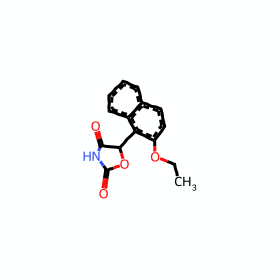 CCOc1ccc2ccccc2c1C1OC(=O)NC1=O